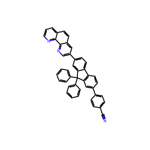 N#Cc1ccc(-c2ccc3c(c2)C(c2ccccc2)(c2ccccc2)c2cc(-c4cnc5c(ccc6cccnc65)c4)ccc2-3)cc1